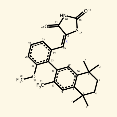 CC1(C)CCC(C)(C)c2cc(C(F)(F)F)c(-c3c(/C=C4/SC(=O)NC4=O)cccc3OC(F)(F)F)cc21